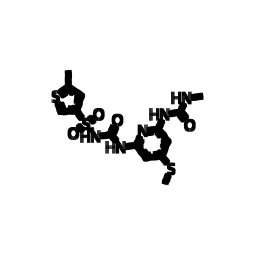 CNC(=O)Nc1cc(SC)cc(NC(=O)NS(=O)(=O)c2csc(C)c2)n1